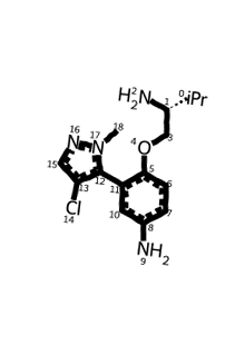 CC(C)[C@@H](N)COc1ccc(N)cc1-c1c(Cl)cnn1C